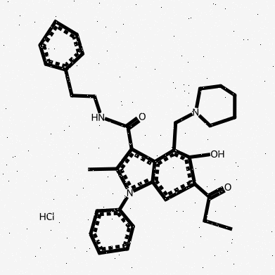 CCC(=O)c1cc2c(c(CN3CCCCC3)c1O)c(C(=O)NCCc1ccccc1)c(C)n2-c1ccccc1.Cl